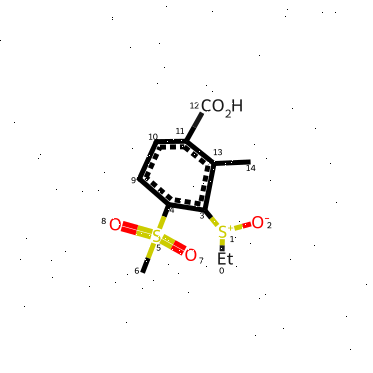 CC[S+]([O-])c1c(S(C)(=O)=O)ccc(C(=O)O)c1C